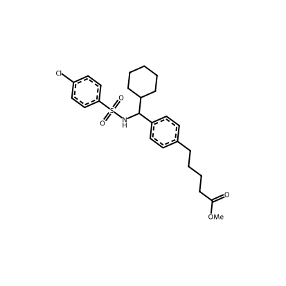 COC(=O)CCCCc1ccc(C(NS(=O)(=O)c2ccc(Cl)cc2)C2CCCCC2)cc1